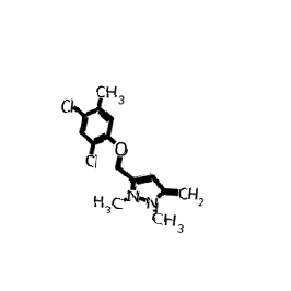 C=C1C=C(COc2cc(C)c(Cl)cc2Cl)N(C)N1C